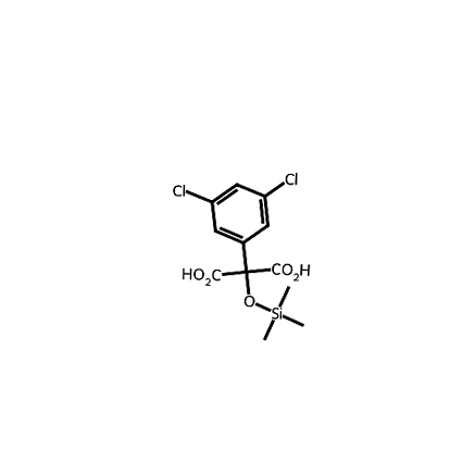 C[Si](C)(C)OC(C(=O)O)(C(=O)O)c1cc(Cl)cc(Cl)c1